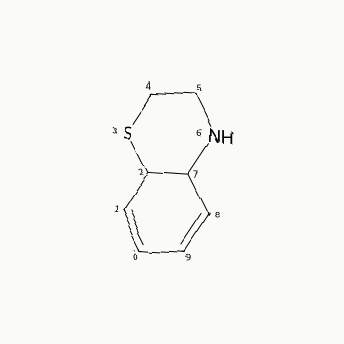 [C]1=CC2SCCNC2C=C1